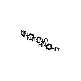 CC(C)c1ccc(NC(=O)N2CCN(c3ccc(-n4ccnc4)nn3)CC2)cc1